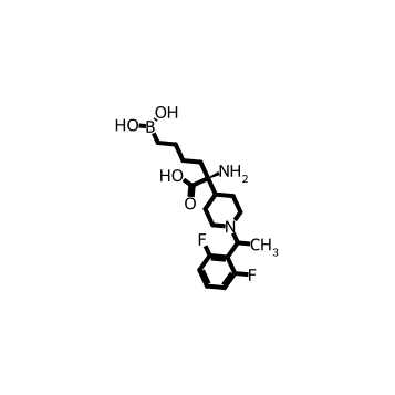 CC(c1c(F)cccc1F)N1CCC([C@@](N)(CCCCB(O)O)C(=O)O)CC1